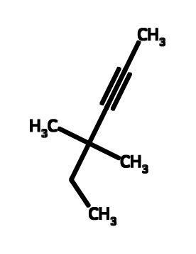 CC#CC(C)(C)CC